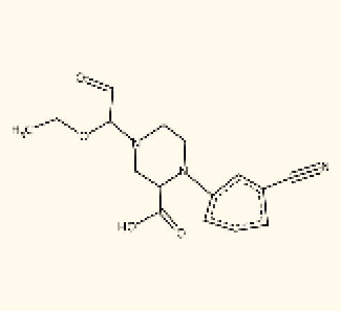 CCOC(C=O)N1CCN(c2cccc(C#N)c2)C(C(=O)O)C1